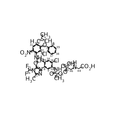 C[S+](C)C.Cc1nn(-c2cc(NS(C)(=O)=O)c(Cl)cc2Cl)c(=O)n1C(F)F.Nc1c([N+](=O)[O-])ccc(Oc2ccccc2)c1Cl.O=C(O)CNCP(=O)([O-])O